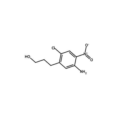 Nc1cc(CCCO)c(Cl)cc1[N+](=O)[O-]